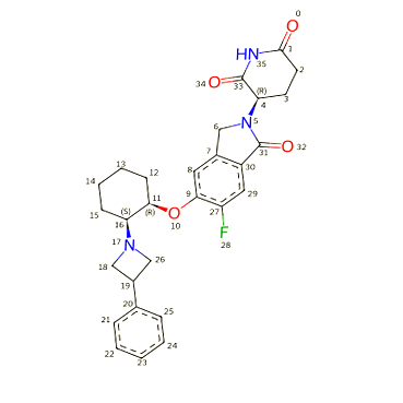 O=C1CC[C@@H](N2Cc3cc(O[C@@H]4CCCC[C@@H]4N4CC(c5ccccc5)C4)c(F)cc3C2=O)C(=O)N1